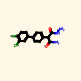 NNC(=O)C(C(N)=O)c1ccc(-c2ccc(F)c(Cl)c2)cc1